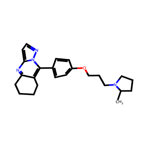 CC1CCCN1CCCOc1ccc(-c2c3c(nc4ccnn24)CCCC3)cc1